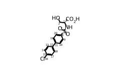 O=C(O)[C@@H](CO)NS(=O)(=O)c1ccc(-c2ccc(Cl)cc2)cc1